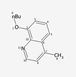 CCCCOc1cccc2c(C)ccnc12